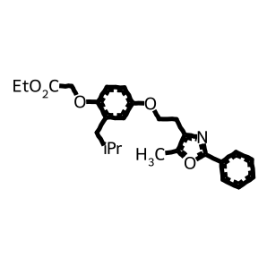 CCOC(=O)COc1ccc(OCCc2nc(-c3ccccc3)oc2C)cc1CC(C)C